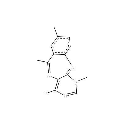 CC1=NC2=C(Cl)N=CN(C)C2=Nc2ccc(C)cc21